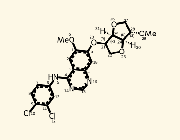 COc1cc2c(Nc3ccc(Cl)c(Cl)c3)ncnc2cc1O[C@@H]1CO[C@H]2[C@@H]1OC[C@@H]2OC